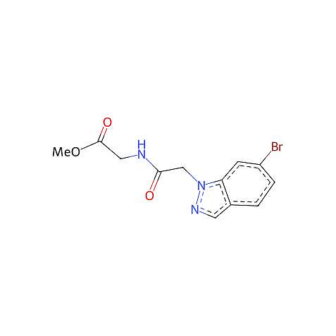 COC(=O)CNC(=O)Cn1ncc2ccc(Br)cc21